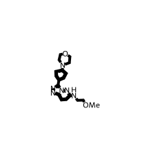 COCCNc1ccc2nnc(-c3ccc(N4CCOCC4)cc3)n2n1